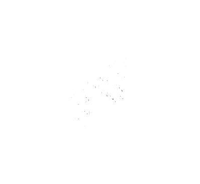 CC(=O)Nc1cccc(CO/N=C(/c2ccccc2)c2nnnn2C)n1